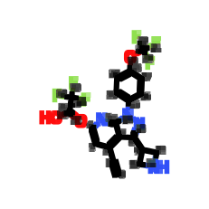 C#Cc1ccnc2c1c(C1CNC1)nn2-c1ccc(OC(F)(F)F)cc1.O=C(O)C(F)(F)F